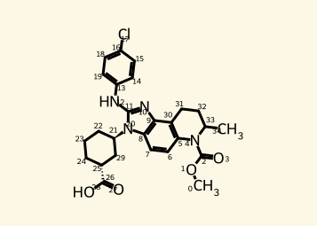 COC(=O)N1c2ccc3c(nc(Nc4ccc(Cl)cc4)n3[C@@H]3CCC[C@@H](C(=O)O)C3)c2CCC1C